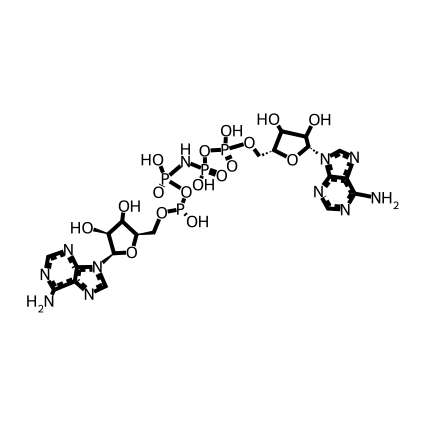 Nc1ncnc2c1ncn2[C@@H]1O[C@H](COP(=O)(O)OP(=O)(O)NP(=O)(O)OP(O)OC[C@H]2O[C@@H](n3cnc4c(N)ncnc43)[C@@H](O)C2O)C(O)C1O